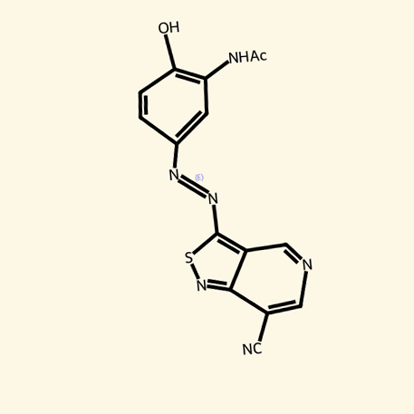 CC(=O)Nc1cc(/N=N/c2snc3c(C#N)cncc23)ccc1O